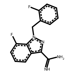 N=C(N)c1nn(Cc2ccccc2F)c2c(F)cccc12